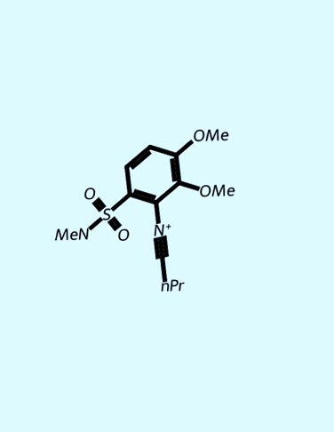 CCCC#[N+]c1c(S(=O)(=O)NC)ccc(OC)c1OC